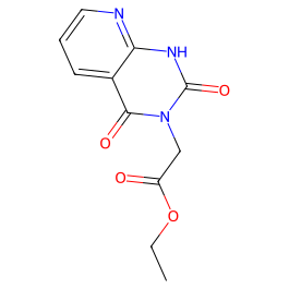 CCOC(=O)Cn1c(=O)[nH]c2ncccc2c1=O